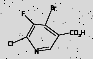 O=C(O)c1cnc(Cl)c(F)c1Br